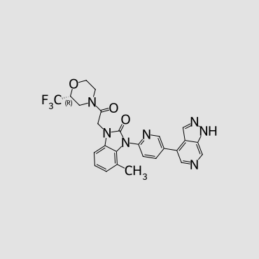 Cc1cccc2c1n(-c1ccc(-c3cncc4[nH]ncc34)cn1)c(=O)n2CC(=O)N1CCO[C@@H](C(F)(F)F)C1